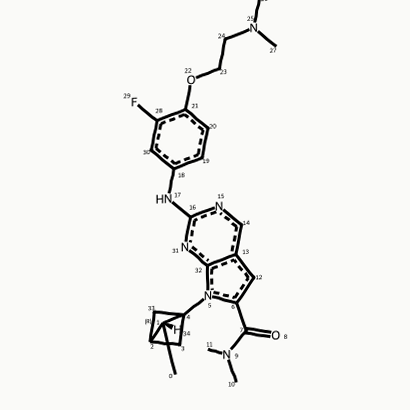 C[C@@H]1C2CC1(n1c(C(=O)N(C)C)cc3cnc(Nc4ccc(OCCN(C)C)c(F)c4)nc31)C2